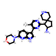 NC1CCC2(CCNCC2)C1c1ncc(C(F)(F)F)c(-c2c[nH]c3nc(N4CCOCC4)ccc23)n1